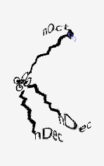 CCCCCCCC/C=C\CCCCCCCCOP(=O)(OCCCCCCCCCCCCCCCCCC)OCCCCCCCCCCCCCCCCCC